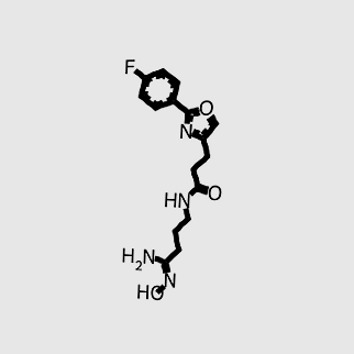 N/C(CCCNC(=O)CCc1coc(-c2ccc(F)cc2)n1)=N\O